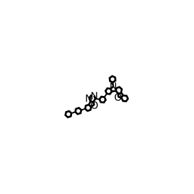 c1ccc(-c2ccc(-c3ccc4oc5c(-c6cccc(-c7ccc8c(c7)c7c9oc%10ccccc%10c9ccc7n8-c7ccccc7)c6)ncnc5c4c3)cc2)cc1